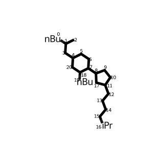 CCCCC(C)CC1CCC(C2CCC(CCCCC(C)C)C2)C(CCCC)C1